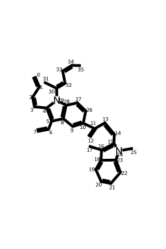 C=C/C=C\c1c(C=C)c2cc(C(=C)/C=C\c3c(C)c4ccccc4n3C)ccc2n1/C(C)=C/C=C\C